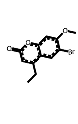 CCc1cc(=O)oc2cc(OC)c(Br)cc12